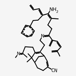 C=C/C=C(CCc1ccccc1)/C(N)=C(/C)CC/C(=N/CCC1=C(CC/C(C)=N/C)C(C)(C)C2CCC(C#N)=CC1C2)C(=C)/C=C\C(=C)C